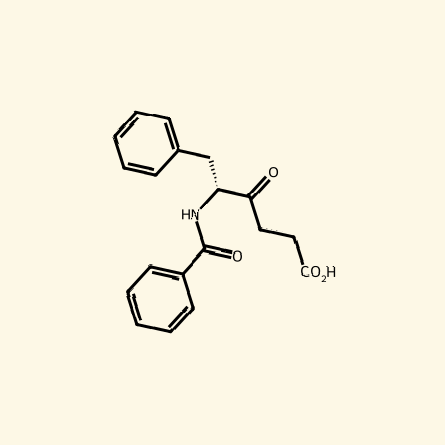 O=C(O)CCC(=O)[C@@H](Cc1ccccc1)NC(=O)c1ccccc1